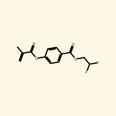 C=C(C)C(=O)Oc1ccc(C(=O)OCC(F)F)cc1